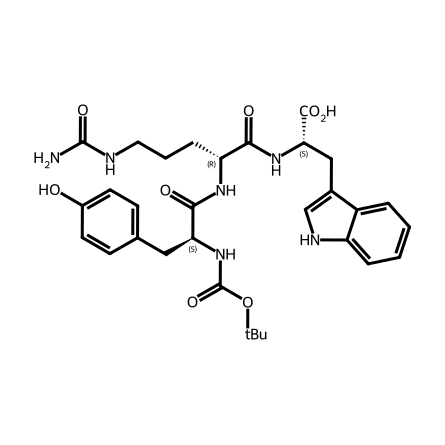 CC(C)(C)OC(=O)N[C@@H](Cc1ccc(O)cc1)C(=O)N[C@H](CCCNC(N)=O)C(=O)N[C@@H](Cc1c[nH]c2ccccc12)C(=O)O